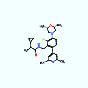 Cc1cc(-c2ccc(N3C[C@@H](C)O[C@@H](C)C3)c(F)c2CNC(=O)C(C)C2CC2)cc(C)n1